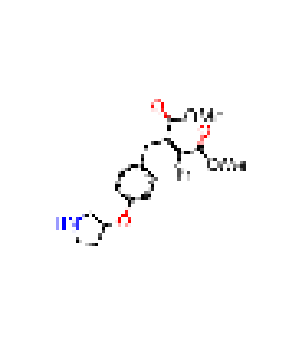 COC(=O)C(Cc1ccc(OC2CCNC2)cc1)=C(C(=O)OC)C(C)C